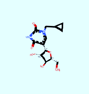 O=c1[nH]c(=O)n(CC2CC2)cc1[C@@H]1O[C@H](CO)C(O)[C@@H]1O